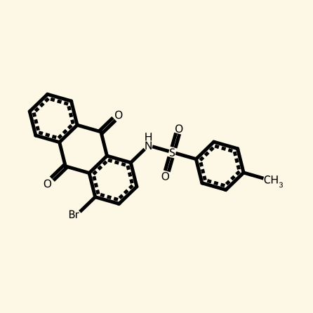 Cc1ccc(S(=O)(=O)Nc2ccc(Br)c3c2C(=O)c2ccccc2C3=O)cc1